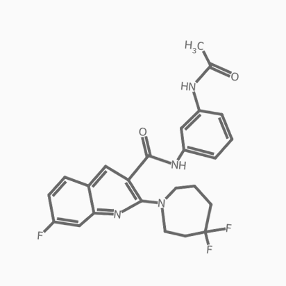 CC(=O)Nc1cccc(NC(=O)c2cc3ccc(F)cc3nc2N2CCCC(F)(F)CC2)c1